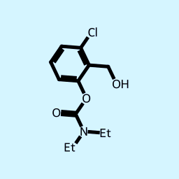 CCN(CC)C(=O)Oc1cccc(Cl)c1CO